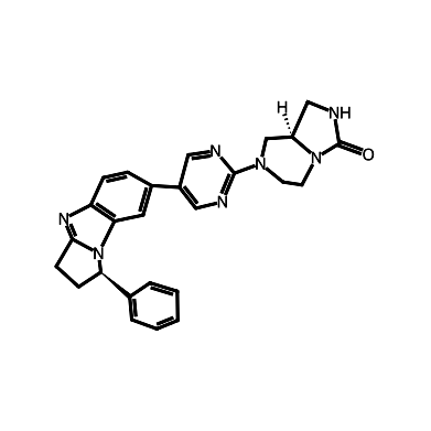 O=C1NC[C@@H]2CN(c3ncc(-c4ccc5nc6n(c5c4)[C@@H](c4ccccc4)CC6)cn3)CCN12